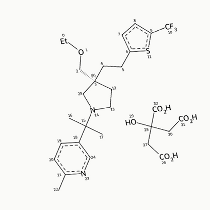 CCOC[C@]1(CCc2ccc(C(F)(F)F)s2)CCN(C(C)(C)c2ccc(C)nc2)C1.O=C(O)CC(O)(CC(=O)O)C(=O)O